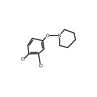 Clc1ccc(ON2CCCCC2)cc1Cl